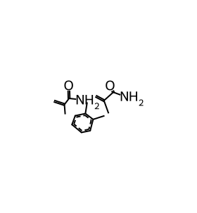 C=C(C)C(N)=O.C=C(C)C(N)=O.Cc1ccccc1C